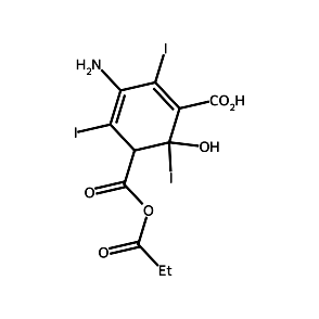 CCC(=O)OC(=O)C1C(I)=C(N)C(I)=C(C(=O)O)C1(O)I